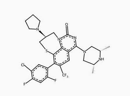 C[C@@H]1CN(c2nc(=O)n3c4c(c(-c5cc(Cl)c(F)cc5F)c(C(F)(F)F)cc24)SC[C@@H](N2CCCC2)C3)C[C@H](C)N1